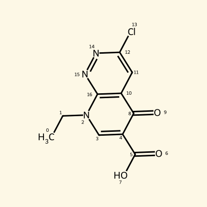 CCn1cc(C(=O)O)c(=O)c2cc(Cl)nnc21